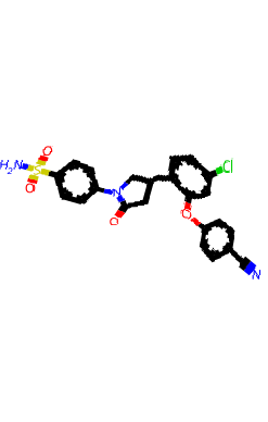 N#Cc1ccc(Oc2cc(Cl)ccc2C2CC(=O)N(c3ccc(S(N)(=O)=O)cc3)C2)cc1